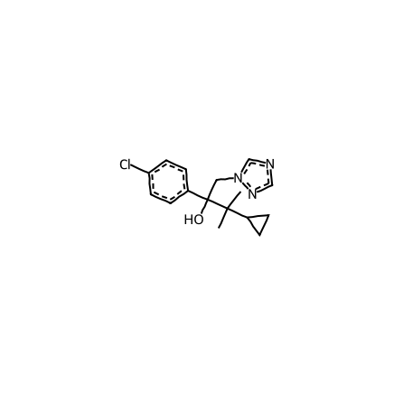 CC(C)(C1CC1)C(O)(Cn1cncn1)c1ccc(Cl)cc1